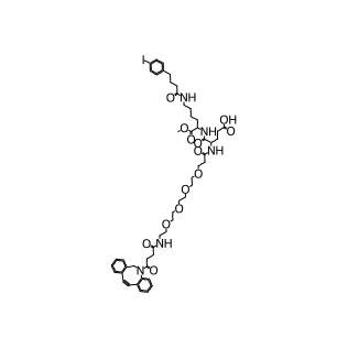 COC(=O)C(CCCCNC(=O)CCCc1ccc(I)cc1)NC(=O)C(CCC(=O)O)NC(=O)CCOCCOCCOCCOCCNC(=O)CCC(=O)N1Cc2ccccc2C#Cc2ccccc21